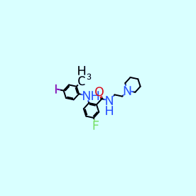 Cc1cc(I)ccc1Nc1ccc(F)cc1C(=O)NCCN1CCCCC1